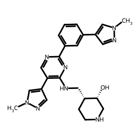 Cn1cc(-c2cccc(-c3ncc(-c4cnn(C)c4)c(NC[C@H]4CCNC[C@H]4O)n3)c2)cn1